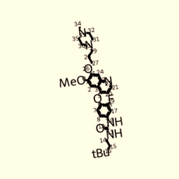 COc1cc2c(Oc3ccc(NC(=O)NCCC(C)(C)C)cc3F)ccnc2cc1OCCCN1CCN(C)CC1